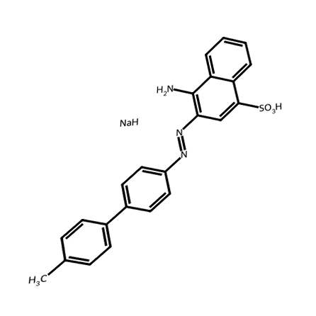 Cc1ccc(-c2ccc(/N=N/c3cc(S(=O)(=O)O)c4ccccc4c3N)cc2)cc1.[NaH]